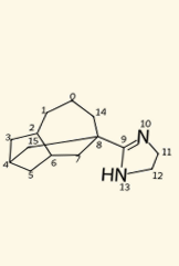 C1CC2CC3CC2CC(C2=NCCN2)(C1)C3